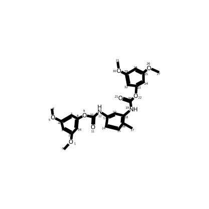 COc1cc(OC)cc(OC(=O)Nc2ccc(C)c(NC(=O)Oc3cc(OC)cc(OC)c3)c2)c1